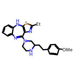 CCc1nc2c(s1)Nc1ccccc1N=C2N1CCNC(CCc2ccc(OC)cc2)C1